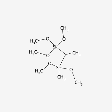 CO[Si](C)(OC)C(C)[Si](OC)(OC)OC